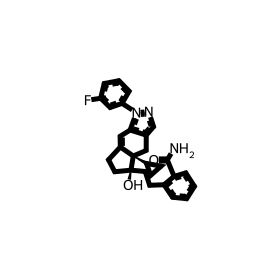 NC(=O)c1ccccc1CC[C@]1(O)CCC2=Cc3c(cnn3-c3cccc(F)c3)C[C@@]21C1CC1